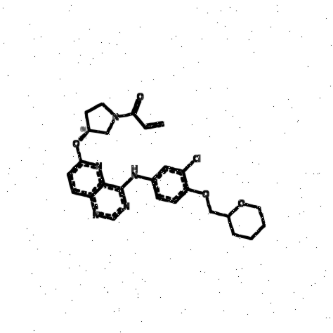 C=CC(=O)N1CC[C@H](Oc2ccc3ncnc(Nc4ccc(OCC5CCCCO5)c(Cl)c4)c3n2)C1